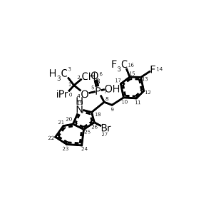 CC(C)C(C)(C)OP(=O)(O)C(Cc1ccc(F)c(C(F)(F)F)c1)c1[nH]c2ccccc2c1Br